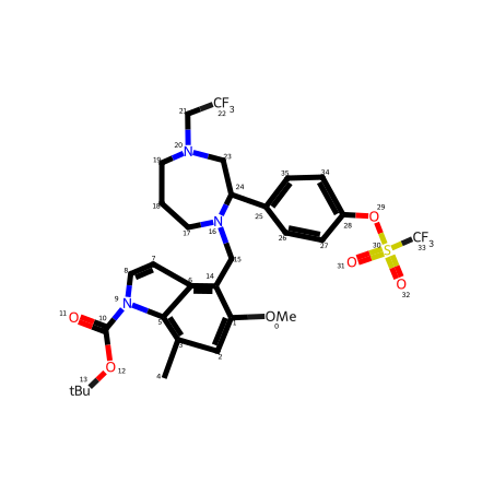 COc1cc(C)c2c(ccn2C(=O)OC(C)(C)C)c1CN1CCCN(CC(F)(F)F)CC1c1ccc(OS(=O)(=O)C(F)(F)F)cc1